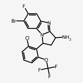 NC1CC(c2c(Cl)cccc2OC(F)(F)F)n2c1nc1cc(F)c(Br)cc12